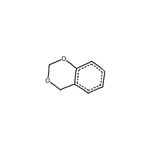 [CH]1OCOc2ccccc21